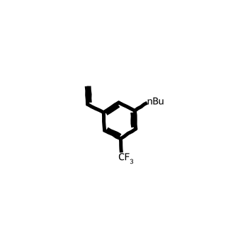 C=Cc1cc(CCCC)cc(C(F)(F)F)c1